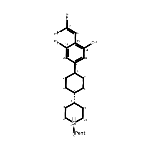 CCCCC[Si@H]1CC[C@H](C2CCC(c3cc(F)c(C=C(F)F)c(F)c3)CC2)CC1